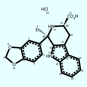 CC[C@]1(c2ccc3c(c2)OCO3)N[C@@H](C(=O)O)Cc2c1[nH]c1ccccc21.Cl